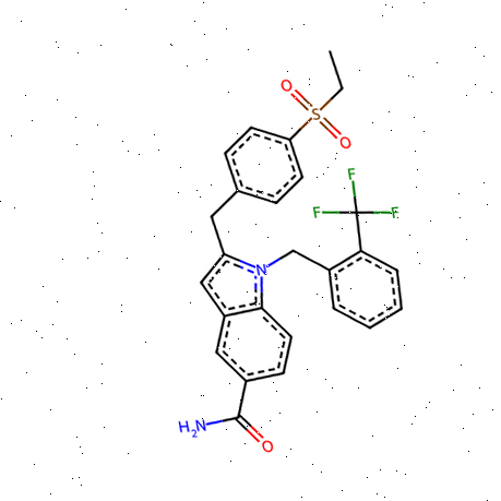 CCS(=O)(=O)c1ccc(Cc2cc3cc(C(N)=O)ccc3n2Cc2ccccc2C(F)(F)F)cc1